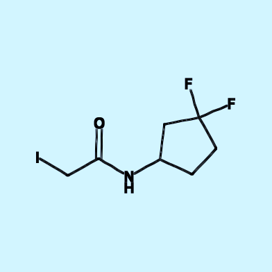 O=C(CI)NC1CCC(F)(F)C1